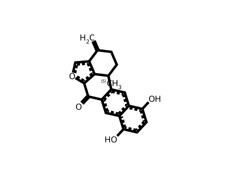 C=C1CC[C@@]2(C)c3cc4c(O)ccc(O)c4cc3C(=O)c3occ1c32